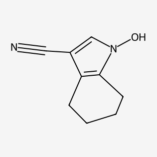 N#Cc1cn(O)c2c1CCCC2